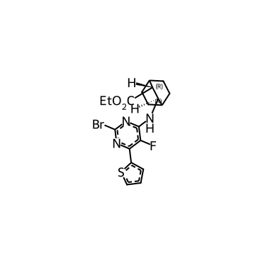 CCOC(=O)[C@@H]1C2CCC(CC2)[C@H]1Nc1nc(Br)nc(-c2cccs2)c1F